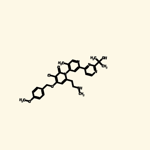 CNCCc1cc(OCc2ccc(OC)cc2)c(Cl)c(=O)n1-c1cc(-c2ccnc(C(C)(C)O)n2)ncc1C